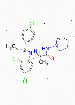 CC[C@H](c1ccc(Cl)cc1)N(/N=C(\C)C(=O)NN1CCCCC1)c1ccc(Cl)cc1Cl